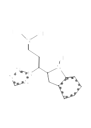 CN(C)CCC(C1Cc2ccccc2N1C)n1ncnn1